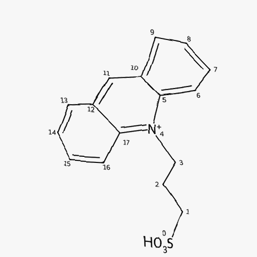 O=S(=O)(O)CCC[n+]1c2ccccc2cc2ccccc21